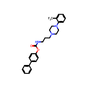 O=C(NCCCN1CCN(c2ccccc2C(F)(F)F)CC1)Oc1ccc(-c2ccccc2)cc1